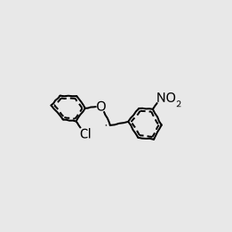 O=[N+]([O-])c1cccc([CH]Oc2ccccc2Cl)c1